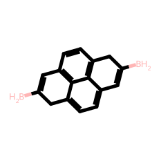 BC1=Cc2ccc3c4c(ccc(c24)C1)C=C(B)C3